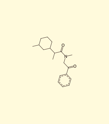 CC1CCCC(C(C)C(=O)N(C)CC(=O)c2ccccc2)C1